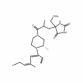 C=C/C(=C\C(F)=C/CF)N1CCN(C(=O)C(C)CC2(COC)NC(=O)NC2=O)C[C@@H]1C